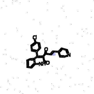 O=C(/C=C/c1ccncc1)c1c(-c2ccc(Cl)cc2)c2ccccc2[nH]c1=O